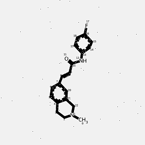 CN1CCc2ccc(C=CC(=O)Nc3ccc(F)cc3)cc2C1